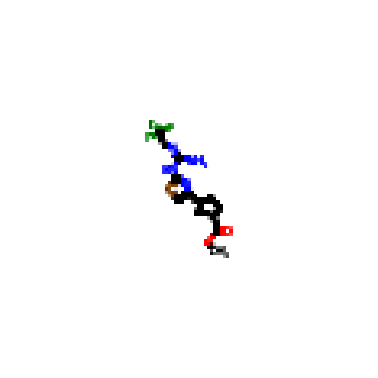 COC(=O)C1CCC(c2csc(N/C(N)=N\CC(F)(F)F)n2)C1